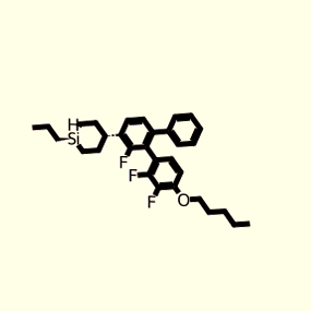 CCCCCOc1ccc(-c2c(-c3ccccc3)ccc([C@H]3CC[Si@H](CCC)CC3)c2F)c(F)c1F